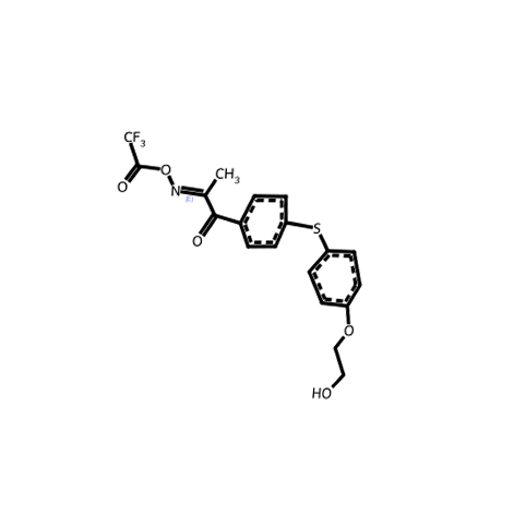 C/C(=N\OC(=O)C(F)(F)F)C(=O)c1ccc(Sc2ccc(OCCO)cc2)cc1